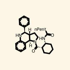 CCCCCC(=O)N[C@@H]1CCCC[C@@H]1C(=O)N1CC[C@H]2[C@H](c3ccccc3)Nc3ccccc3[C@@H]21